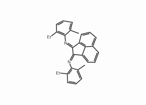 CCc1cccc(C)c1/N=C1/C(=N/c2c(C)cccc2CC)c2cccc3cccc1c23